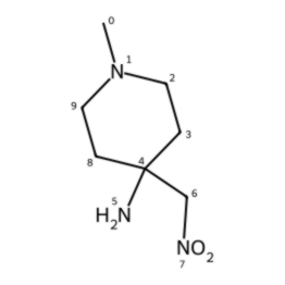 CN1CCC(N)(C[N+](=O)[O-])CC1